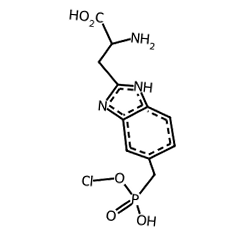 NC(Cc1nc2cc(CP(=O)(O)OCl)ccc2[nH]1)C(=O)O